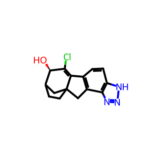 O[C@H]1C(Cl)=C2c3ccc4[nH]nnc4c3CC23CCC1C3